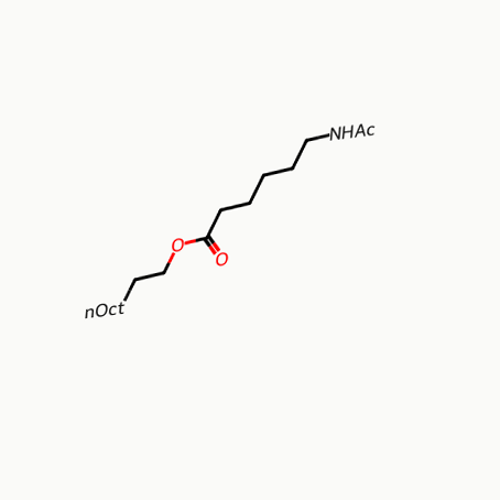 CCCCCCCCCCOC(=O)CCCCCNC(C)=O